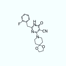 N#Cc1c(N2CCC3(CC2)OCCO3)nc(Cc2ccccc2F)[nH]c1=O